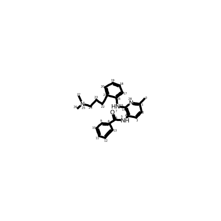 Cc1ccc(NC(=O)c2ccccc2)c(Nc2ccccc2CCCN(C)C)n1